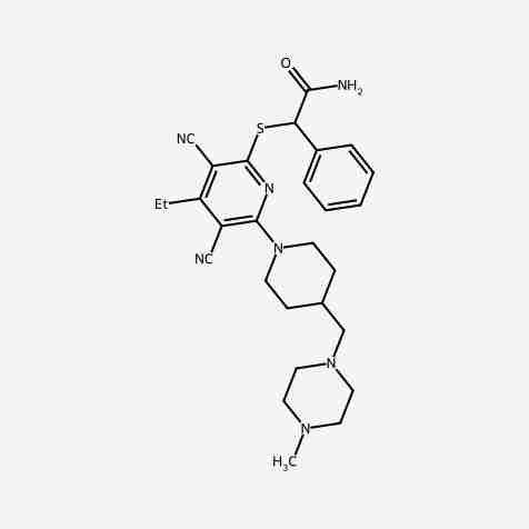 CCc1c(C#N)c(SC(C(N)=O)c2ccccc2)nc(N2CCC(CN3CCN(C)CC3)CC2)c1C#N